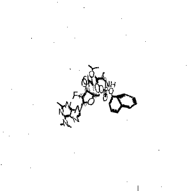 Cc1nc(N(C)C)c2ncn([C@@H]3O[C@](CCl)(CO[P@](=O)(N[C@H](C)C(=O)OC(C)C)Oc4cccc5ccccc45)[C@@H](O)[C@@H]3F)c2n1